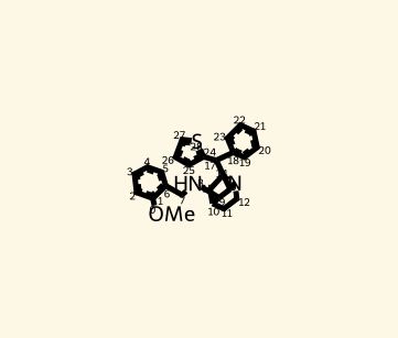 COc1ccccc1CNC1C2CCN(CC2)C1C(c1ccccc1)c1cccs1